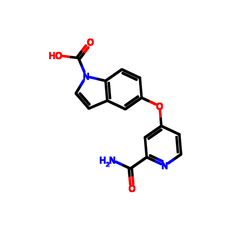 NC(=O)c1cc(Oc2ccc3c(ccn3C(=O)O)c2)ccn1